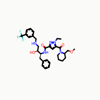 CCn1nc(C(=O)N[C@@H](Cc2ccccc2)[C@@H](O)CNCc2cccc(C(F)(F)F)c2)cc1C(=O)N1CCCCC1COC